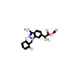 Cc1nn(Cc2c(Cl)cccc2Cl)c2cc(C(C)C(=O)OC#N)ccc12